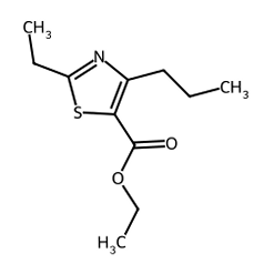 CCCc1nc(CC)sc1C(=O)OCC